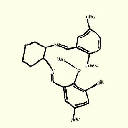 CCCCc1ccc(OC)c(/C=N/C2CCCCC2/N=C/c2cc(CCCC)cc(CCCC)c2OC(C)(C)C)c1